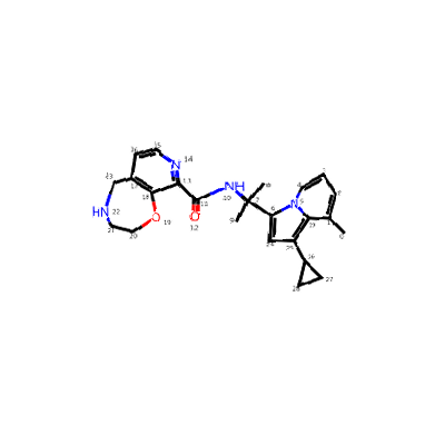 Cc1cccn2c(C(C)(C)NC(=O)c3nccc4c3OCCNC4)cc(C3CC3)c12